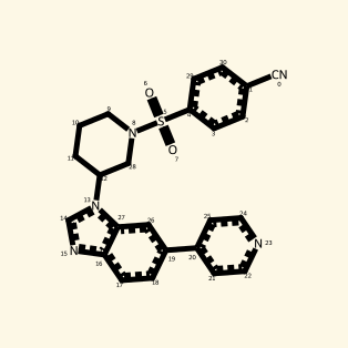 N#Cc1ccc(S(=O)(=O)N2CCCC(n3cnc4ccc(-c5ccncc5)cc43)C2)cc1